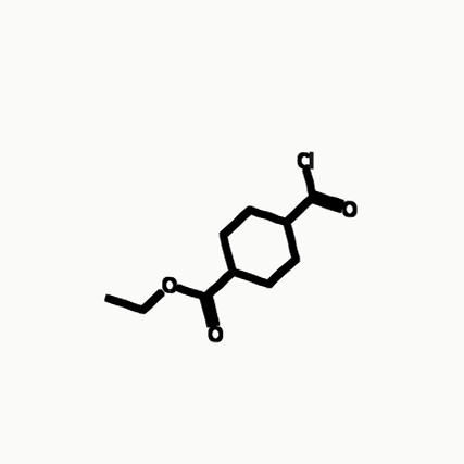 CCOC(=O)C1CCC(C(=O)Cl)CC1